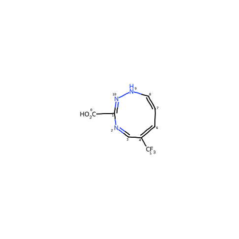 O=C(O)c1ncc(C(F)(F)F)ccc[nH]n1